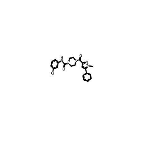 Cn1nc(C(=O)N2CCN(C(=O)Nc3cccc(Cl)c3)CC2)cc1-c1ccccc1